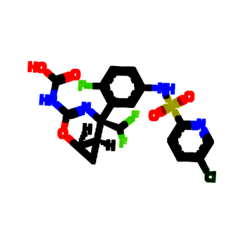 O=C(O)NC1=N[C@@](c2cc(NS(=O)(=O)c3ccc(Cl)cn3)ccc2F)(C(F)F)[C@H]2C[C@H]2O1